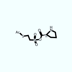 CC(=O)SCCS(=O)(=O)OC(=O)[C@@H]1CCCN1